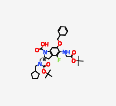 CC(C)(C)OC(=O)CNc1c(OCc2ccccc2)cc2c(c1F)C[C@H](CN(CC1CCCC1)C(=O)OC(C)(C)C)N2C(=O)O